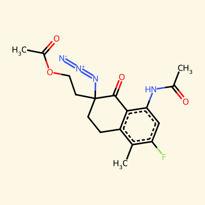 CC(=O)Nc1cc(F)c(C)c2c1C(=O)C(CCOC(C)=O)(N=[N+]=[N-])CC2